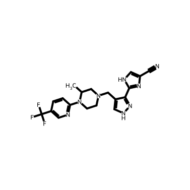 CC1CN(Cc2c[nH]nc2-c2nc(C#N)c[nH]2)CCN1c1ccc(C(F)(F)F)cn1